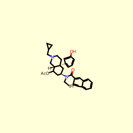 CC(=O)OC1C[C@H](N(CC(C)C)C(=O)c2ccc3ccccc3c2)C[C@]2(c3cccc(O)c3)CCN(CC3CC3)C[C@@H]12